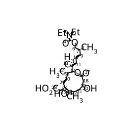 CCN(CC)C(=O)OC[C@H](C)/C=C/C=C(\C)[C@H]1OC(=O)C[C@H](O)CC[C@@](C)(O)[C@@H](CC(=O)O)/C=C/[C@@H]1C